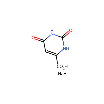 O=C(O)c1cc(=O)[nH]c(=O)[nH]1.[NaH]